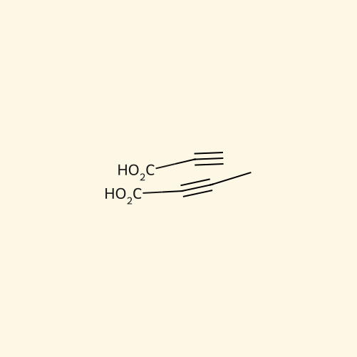 C#CC(=O)O.CC#CC(=O)O